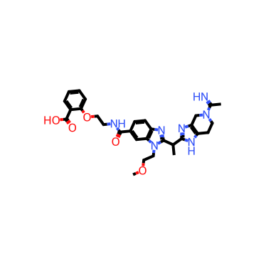 COCCn1c(C(C)c2nc3c([nH]2)CCN(C(C)=N)C3)nc2ccc(C(=O)NCCOc3ccccc3C(=O)O)cc21